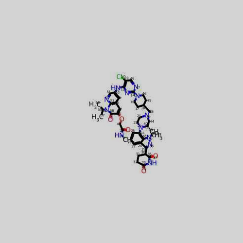 CNC(=O)COc1cc2cc(Nc3nc(N4CCC(CN5CCN(c6cccc7c(C8CCC(=O)NC8=O)nn(C)c67)[C@@H](C)C5)CC4)ncc3Cl)cnc2n(C(C)C)c1=O